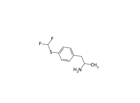 CC(N)Cc1ccc(SC(F)F)cc1